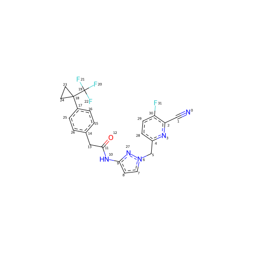 N#Cc1nc(Cn2ccc(NC(=O)Cc3ccc(C4(C(F)(F)F)CC4)cc3)n2)ccc1F